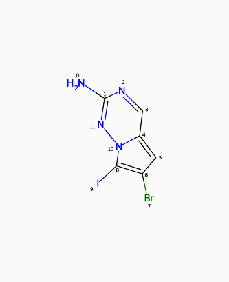 Nc1ncc2cc(Br)c(I)n2n1